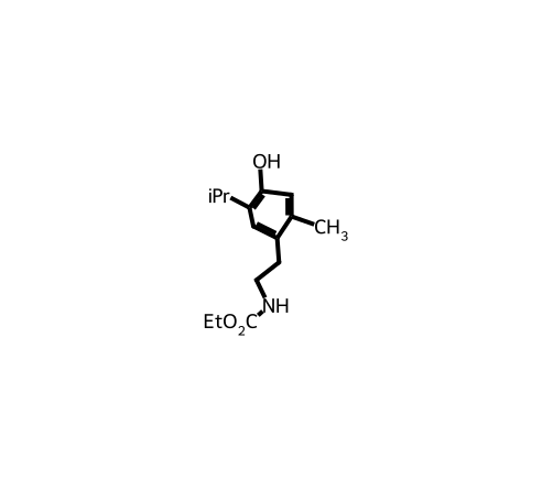 CCOC(=O)NCCc1cc(C(C)C)c(O)cc1C